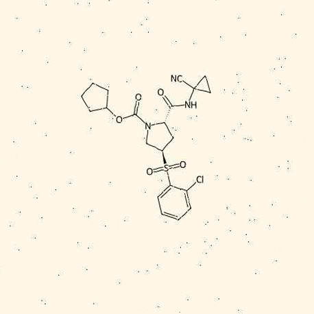 N#CC1(NC(=O)[C@@H]2C[C@@H](S(=O)(=O)c3ccccc3Cl)CN2C(=O)OC2CCCC2)CC1